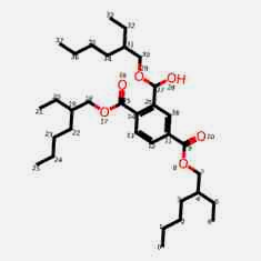 CCCCC(CC)COC(=O)c1ccc(C(=O)OCC(CC)CCCC)c(C(O)OCC(CC)CCCC)c1